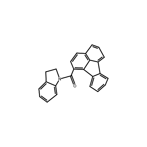 O=C(c1ccc2cccc3c2c1-c1ccccc1-3)N1CCc2ccccc21